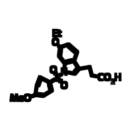 CCOc1ccc2c(CCC(=O)O)cn(S(=O)(=O)c3ccc(OC)cc3)c2c1